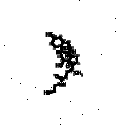 C[C@H](CCC(=O)NCCS)[C@H]1CC[C@H]2[C@@H]3CCC4C[C@H](O)CC[C@]4(C)[C@H]3C[C@H](O)[C@]12C